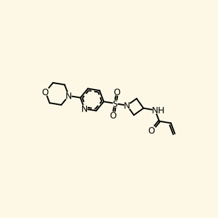 C=CC(=O)NC1CN(S(=O)(=O)c2ccc(N3CCOCC3)nc2)C1